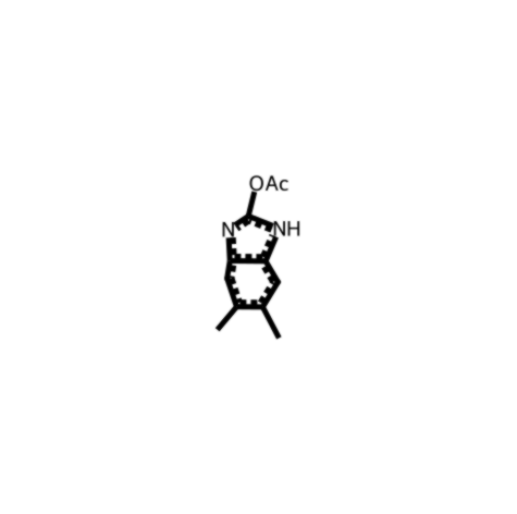 CC(=O)Oc1nc2cc(C)c(C)cc2[nH]1